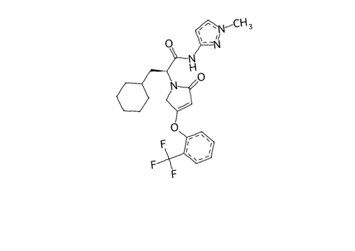 Cn1ccc(NC(=O)[C@H](CC2CCCCC2)N2CC(Oc3ccccc3C(F)(F)F)=CC2=O)n1